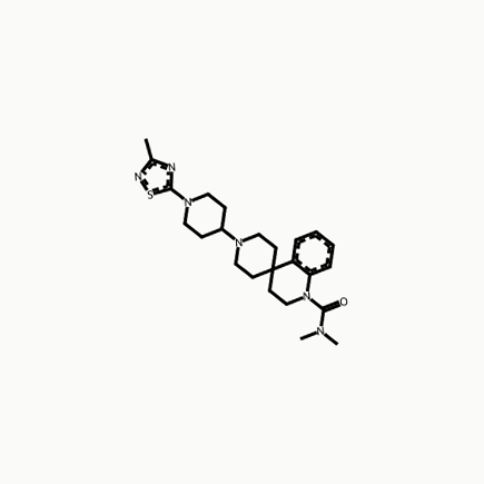 Cc1nsc(N2CCC(N3CCC4(CCN(C(=O)N(C)C)c5ccccc54)CC3)CC2)n1